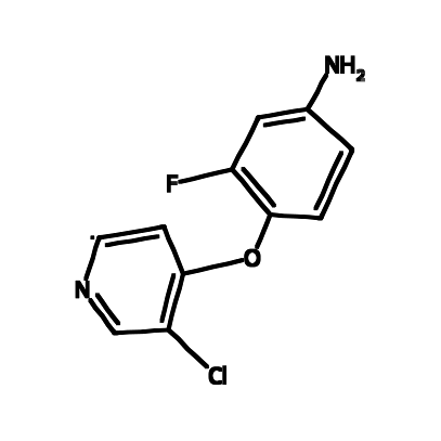 Nc1ccc(Oc2c[c]ncc2Cl)c(F)c1